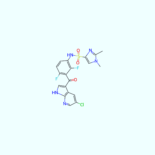 Cc1nc(S(=O)(=O)Nc2ccc(F)c(C(=O)c3c[nH]c4ncc(Cl)cc34)c2F)cn1C